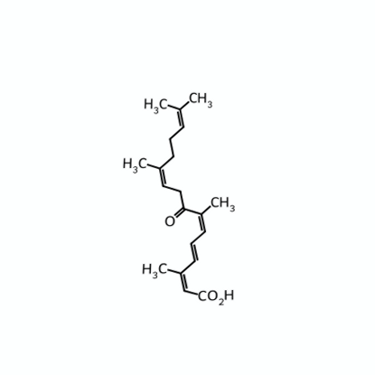 CC(C)=CCCC(C)=CCC(=O)C(C)=CC=CC(C)=CC(=O)O